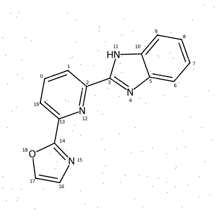 c1cc(-c2nc3ccccc3[nH]2)nc(-c2ncco2)c1